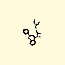 CCN(CC)CCCC(C)Nc1cc(-c2ccccc2)nc2ccccc12